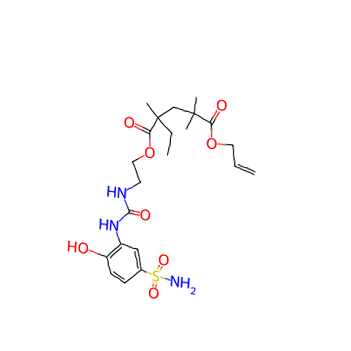 C=CCOC(=O)C(C)(C)CC(C)(CC)C(=O)OCCNC(=O)Nc1cc(S(N)(=O)=O)ccc1O